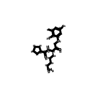 Cc1cc(F)cc(OCC(=O)[C@H](CCCCN)NC(=O)C2CCCC2)c1F